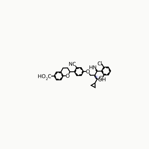 N#Cc1cc(OC/C(C(=N)c2c(Cl)cccc2Cl)=C(/O)C2CC2)ccc1C1CCc2cc(C(=O)O)ccc2O1